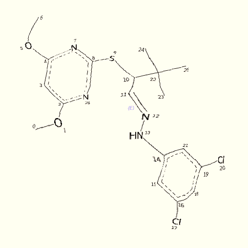 COc1cc(OC)nc(SC(/C=N/Nc2cc(Cl)cc(Cl)c2)C(C)(C)C)n1